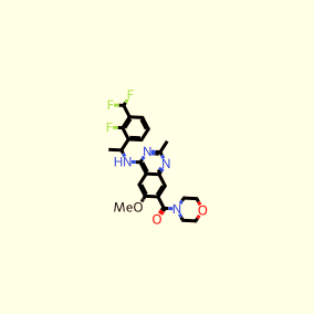 COc1cc2c(NC(C)c3cccc(C(F)F)c3F)nc(C)nc2cc1C(=O)N1CCOCC1